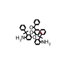 CC(C)(c1ccccc1)c1c(N)cccc1Oc1cccc(C(=O)c2ccccc2)c1Oc1cccc(N)c1C(C)(C)c1ccccc1